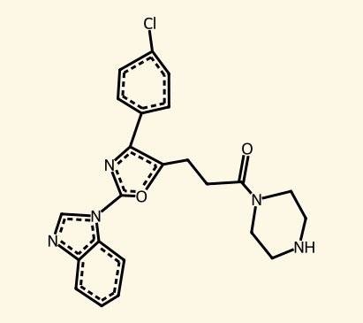 O=C(CCc1oc(-n2cnc3ccccc32)nc1-c1ccc(Cl)cc1)N1CCNCC1